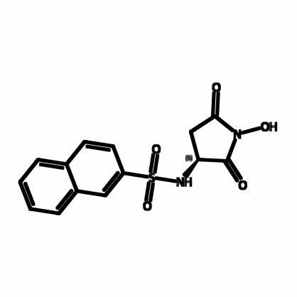 O=C1C[C@H](NS(=O)(=O)c2ccc3ccccc3c2)C(=O)N1O